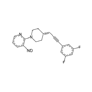 O=Nc1cccnc1N1CCC(=CC#Cc2cc(F)cc(F)c2)CC1